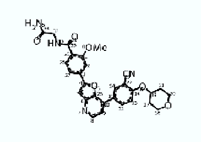 COc1cc(-c2cc3nccc(-c4ccc(OC5CCOCC5)c(C#N)c4)c3o2)ccc1C(=O)NCC(N)=O